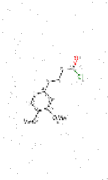 COc1ccc(CCCC(=O)Cl)cc1OC